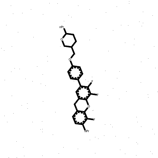 CCCc1ccc2c(c1F)Oc1c(cc(-c3ccc(OCC4CCC(CCC)OC4)cc3)c(F)c1F)C2